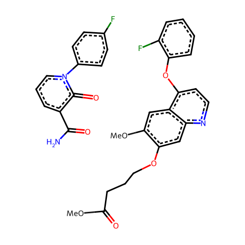 COC(=O)CCCOc1cc2nccc(Oc3ccccc3F)c2cc1OC.NC(=O)c1cccn(-c2ccc(F)cc2)c1=O